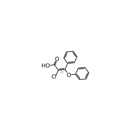 O=C(O)/C(Cl)=C(/Oc1ccccc1)c1ccccc1